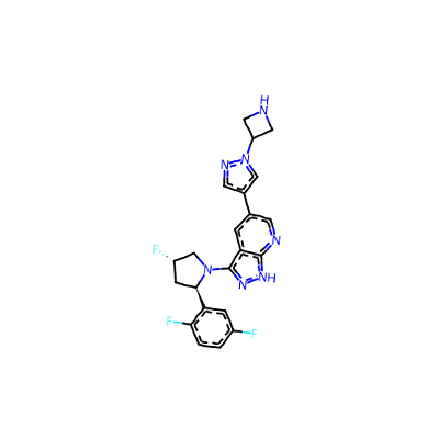 Fc1ccc(F)c([C@H]2C[C@H](F)CN2c2n[nH]c3ncc(-c4cnn(C5CNC5)c4)cc23)c1